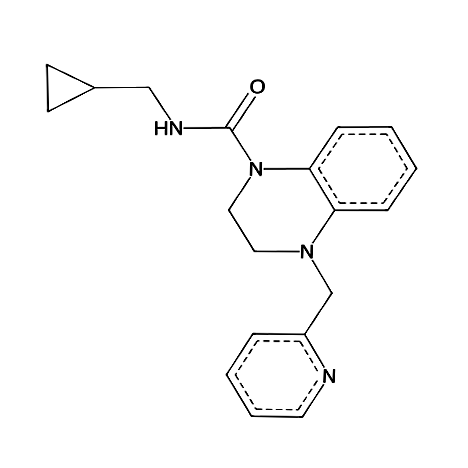 O=C(NCC1CC1)N1CCN(Cc2ccccn2)c2ccccc21